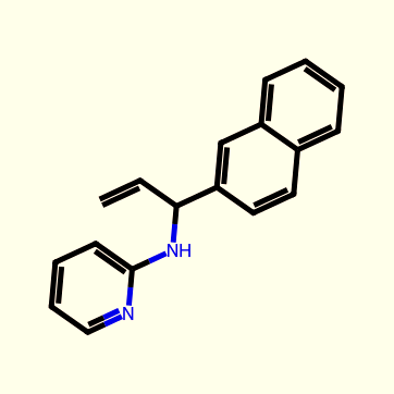 C=CC(Nc1ccccn1)c1ccc2ccccc2c1